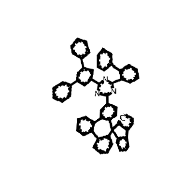 c1ccc(-c2cc(-c3ccccc3)cc(-c3nc(-c4ccc5c(c4)-c4ccccc4-c4ccccc4C54c5ccccc5-c5ccccc54)nc(-c4ccccc4-c4ccccc4)n3)c2)cc1